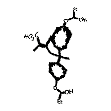 CCC(O)Oc1ccc(C(C)(CC(C)=C(C)C(=O)O)c2ccc(OC(O)CC)cc2)cc1